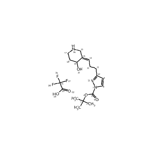 CC(C)(C)OC(=O)n1ccc(CCC=C2CNCCC2O)n1.O=C(O)C(F)(F)F